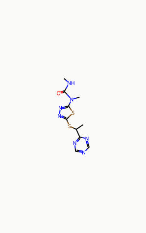 CNC(=O)N(C)c1nnc(SC(C)c2ncncn2)s1